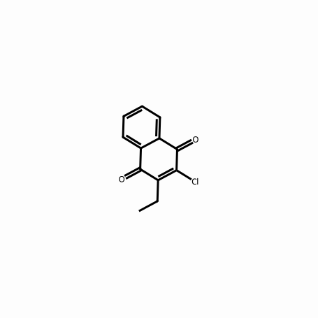 CCC1=C(Cl)C(=O)c2ccccc2C1=O